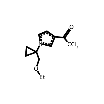 CCOCC1(n2ccc(C(=O)C(Cl)(Cl)Cl)c2)CC1